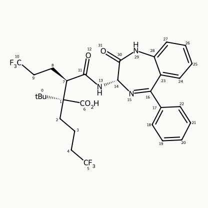 CC(C)(C)[C@@](CCCC(F)(F)F)(C(=O)O)[C@@H](CCC(F)(F)F)C(=O)N[C@H]1N=C(c2ccccc2)c2ccccc2NC1=O